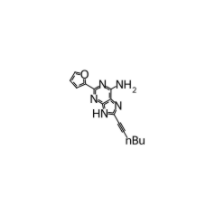 CCCCC#Cc1nc2c(N)nc(-c3ccco3)nc2[nH]1